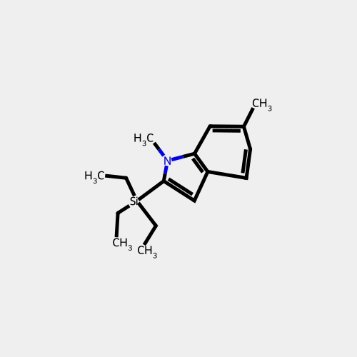 CC[Si](CC)(CC)c1cc2ccc(C)cc2n1C